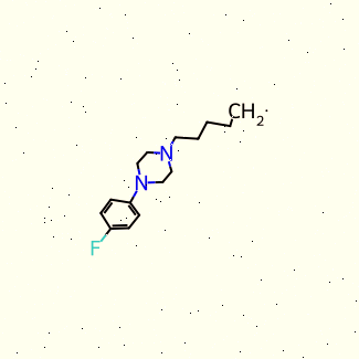 [CH2]CCCCN1CCN(c2ccc(F)cc2)CC1